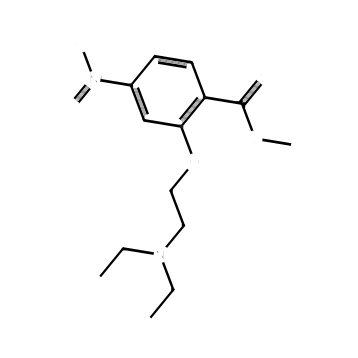 CCN(CC)CCOc1cc([N+](=O)[O-])ccc1C(=O)OC